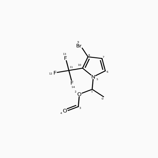 CC(OC=O)n1ccc(Br)c1C(F)(F)F